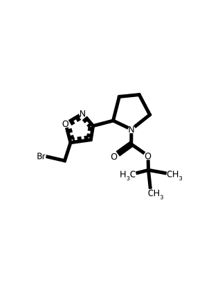 CC(C)(C)OC(=O)N1CCCC1c1cc(CBr)on1